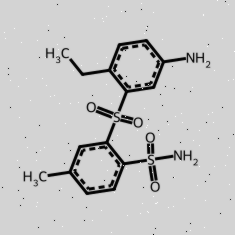 CCc1ccc(N)cc1S(=O)(=O)c1cc(C)ccc1S(N)(=O)=O